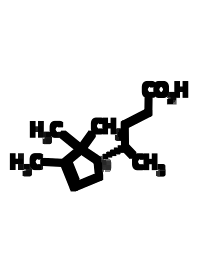 CC1=CC[C@@H](C(C)CCC(=O)O)C1(C)C